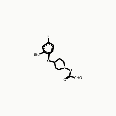 CC(C)(C)c1cc(F)ccc1OC1CCN(OC(=O)C=O)CC1